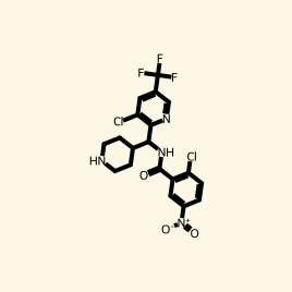 O=C(NC(c1ncc(C(F)(F)F)cc1Cl)C1CCNCC1)c1cc([N+](=O)[O-])ccc1Cl